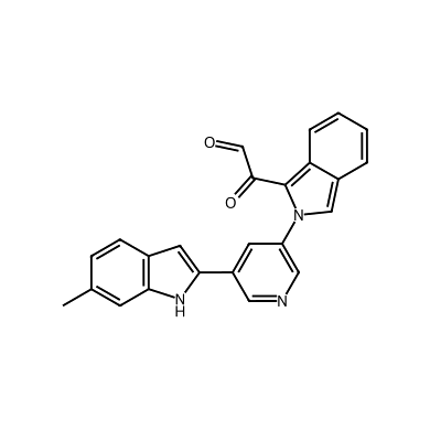 Cc1ccc2cc(-c3cncc(-n4cc5ccccc5c4C(=O)C=O)c3)[nH]c2c1